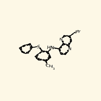 Cc1ccc(Sc2ccccc2)c(Nc2ccnc3cc(C(C)C)cnc23)c1